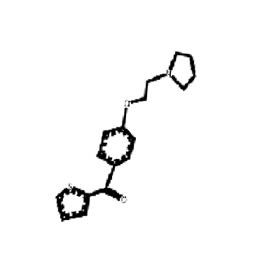 O=C(c1ccc(OCCN2CCCC2)cc1)c1cccs1